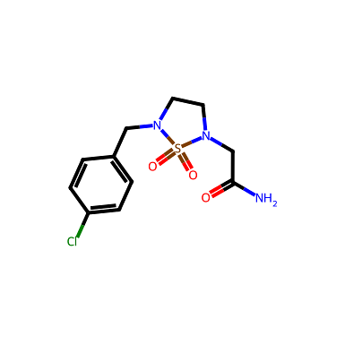 NC(=O)CN1CCN(Cc2ccc(Cl)cc2)S1(=O)=O